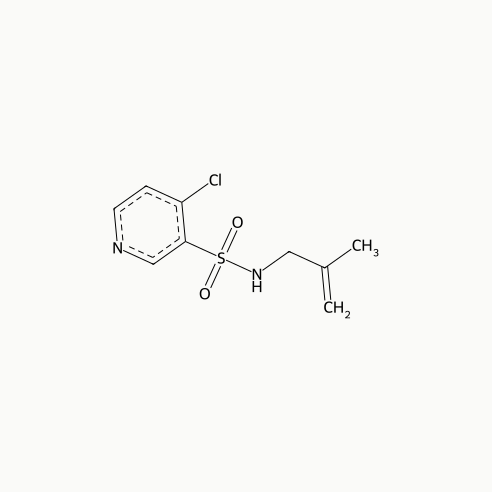 C=C(C)CNS(=O)(=O)c1cnccc1Cl